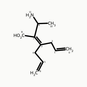 C=CCC(CC=C)=C(C(=O)O)C(C)N